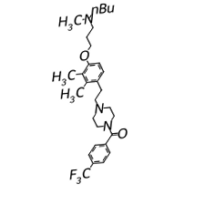 CCCCN(C)CCCOc1ccc(CCN2CCN(C(=O)c3ccc(C(F)(F)F)cc3)CC2)c(C)c1C